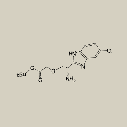 CC(C)(C)OC(=O)COC[C@@H](N)c1nc2cc(Cl)ccc2[nH]1